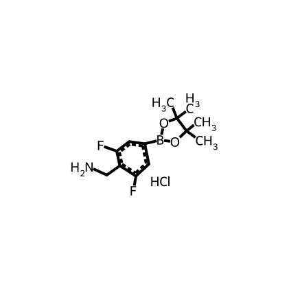 CC1(C)OB(c2cc(F)c(CN)c(F)c2)OC1(C)C.Cl